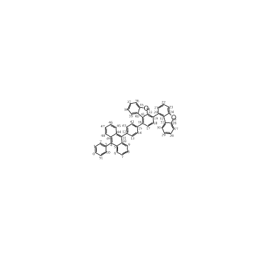 c1ccc(-c2c3ccccc3c(-c3ccc(-c4ccc(-c5cccc6oc7ccccc7c56)c5oc6ccccc6c45)cc3)c3ccccc23)cc1